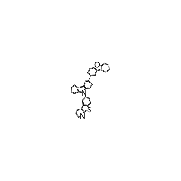 c1ccc2c(c1)oc1ccc(-c3ccc4c(c3)c3ccccc3n4-c3ccc4sc5ncccc5c4c3)cc12